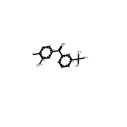 Cc1ccc(C(=O)c2cccc(C(F)(F)F)c2)cc1Cl